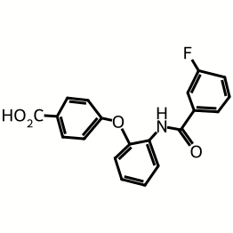 O=C(O)c1ccc(Oc2ccccc2NC(=O)c2cccc(F)c2)cc1